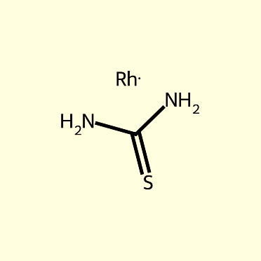 NC(N)=S.[Rh]